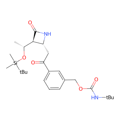 C[C@@H](O[Si](C)(C)C(C)(C)C)[C@H]1C(=O)N[C@@H]1CC(=O)c1cccc(COC(=O)NC(C)(C)C)c1